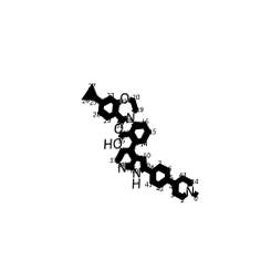 CN1CC=C(c2ccc(-c3cc4c(-c5cccc(N6CCOc7cc(C8CC8)ccc7C6=O)c5CO)ccnc4[nH]3)cc2)CC1